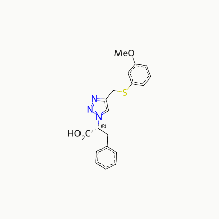 COc1cccc(SCc2cn([C@H](Cc3ccccc3)C(=O)O)nn2)c1